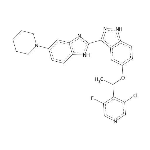 CC(Oc1ccc2[nH]nc(-c3nc4cc(N5CCCCC5)ccc4[nH]3)c2c1)c1c(F)cncc1Cl